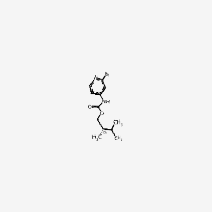 CC(C)[C@H](C)COC(=O)Nc1ccnc(Br)c1